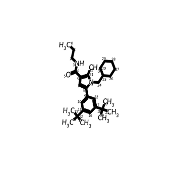 CCCNC(=O)c1cc(-c2cc(C(C)(C)C)cc(C(C)(C)C)c2)n(CC2CCCCC2)c1C